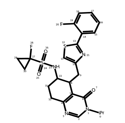 CC(C)n1cnc2c(c1=O)C(Cc1csc(-c3ccccc3F)n1)C(NS(=O)(=O)C1(F)CC1)CC2